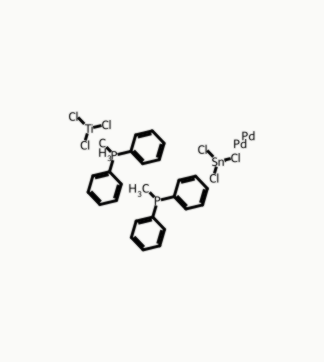 CP(c1ccccc1)c1ccccc1.CP(c1ccccc1)c1ccccc1.[Cl][Sn]([Cl])[Cl].[Cl][Ti]([Cl])[Cl].[Pd].[Pd]